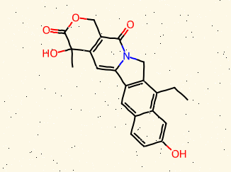 CCc1c2c(cc3ccc(O)cc13)-c1cc3c(c(=O)n1C2)COC(=O)C3(C)O